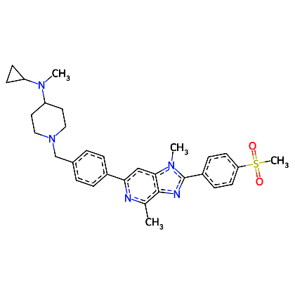 Cc1nc(-c2ccc(CN3CCC(N(C)C4CC4)CC3)cc2)cc2c1nc(-c1ccc(S(C)(=O)=O)cc1)n2C